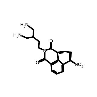 NCC(CN)CCN1C(=O)c2cccc3c([N+](=O)[O-])ccc(c23)C1=O